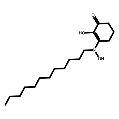 CCCCCCCCCCCCN(O)C1=C(O)C(=O)CCC1